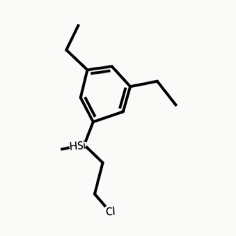 CCc1cc(CC)cc([SiH](C)CCCl)c1